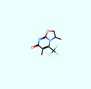 Cc1c(C(F)(F)F)n2c(nc1=O)OCC2C